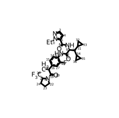 CCn1nccc1C(=O)N[C@H](C(=O)Nc1ccc([C@H](C)C(=O)N2CCC[C@H]2C(F)(F)F)cc1F)C(C1CC1)C1CC1